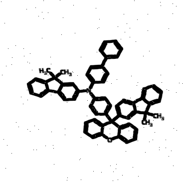 CC1(C)c2ccccc2-c2ccc(N(c3ccc(-c4ccccc4)cc3)c3ccc(C4(c5ccc6c(c5)C(C)(C)c5ccccc5-6)c5ccccc5Oc5ccccc54)cc3)cc21